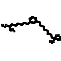 CC(C)CCCCCCc1cccc(CCCCCOCCC(C)(C)S)c1